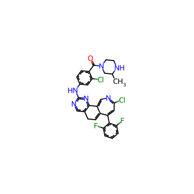 CC1CN(C(=O)c2ccc(Nc3ncc4c(n3)C3=CN=C(Cl)C=C(c5c(F)cccc5F)C3=CC4)cc2Cl)CCN1